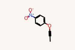 CC#COc1ccc([N+](=O)[O-])cc1